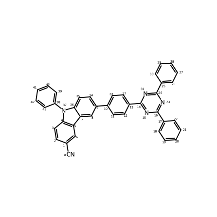 N#Cc1ccc2c(c1)c1cc(-c3ccc(-c4nc(-c5ccccc5)nc(-c5ccccc5)n4)cc3)ccc1n2-c1ccccc1